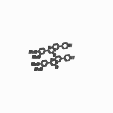 COc1ccc(-c2cc(=O)n3cc(C4=CCNCC4)ccc3n2)cc1OC.COc1ccc(-c2cc(=O)n3cc(C4CCNCC4)ccc3n2)cc1OC